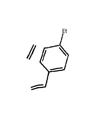 C=C.C=Cc1ccc(CC)cc1